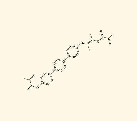 C=C(C)C(=C)Oc1ccc(-c2ccc(-c3ccc(O/C(C)=C(\C)OC(=O)C(=C)C)cc3)cc2)cc1